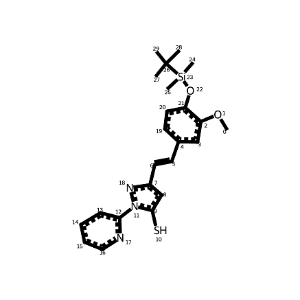 COc1cc(/C=C/c2cc(S)n(-c3ccccn3)n2)ccc1O[Si](C)(C)C(C)(C)C